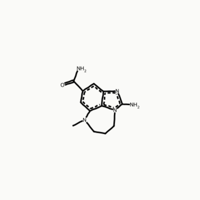 CN1CCCn2c(N)nc3cc(C(N)=O)cc1c32